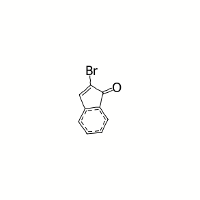 O=C1C(Br)=Cc2ccccc21